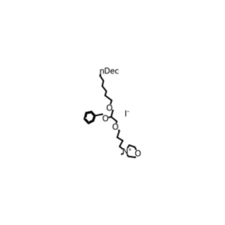 CCCCCCCCCCCCCCCCOCC(COCCCC[N+]1(C)CCOCC1)OCc1ccccc1.[I-]